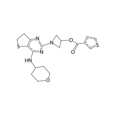 O=C(OC1CN(c2nc3c(c(NC4CCOCC4)n2)SCC3)C1)c1ccsc1